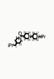 CC(C)CC1CCN(C(=O)C2CCN(C3CCN(C(C)C)CC3)CC2)CC1